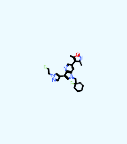 Cc1noc(C)c1-c1cnc2c(-c3cnn(CCF)c3)cn(CC3(F)CCCCC3)c2c1